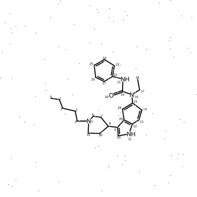 CCCCCN1CCC(c2c[nH]c3ccc(N(CC)C(=O)Nc4ccccc4)cc23)CC1